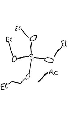 CC(C)=O.CCO[Si](OCC)(OCC)OCC